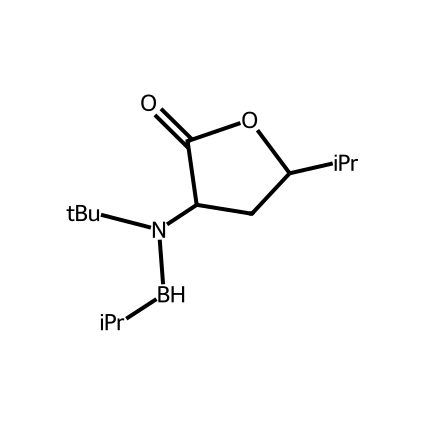 CC(C)BN(C1CC(C(C)C)OC1=O)C(C)(C)C